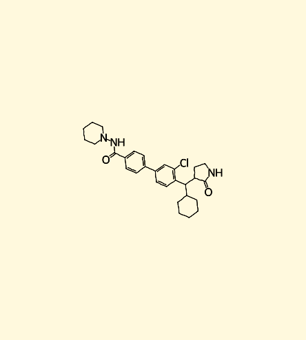 O=C(NN1CCCCC1)c1ccc(-c2ccc(C(C3CCCCC3)C3CCNC3=O)c(Cl)c2)cc1